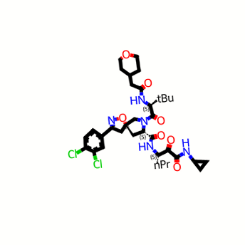 CCC[C@H](NC(=O)[C@@H]1C[C@]2(CC(c3ccc(Cl)c(Cl)c3)=NO2)CN1C(=O)[C@@H](NC(=O)CC1CCOCC1)C(C)(C)C)C(=O)C(=O)NC1CC1